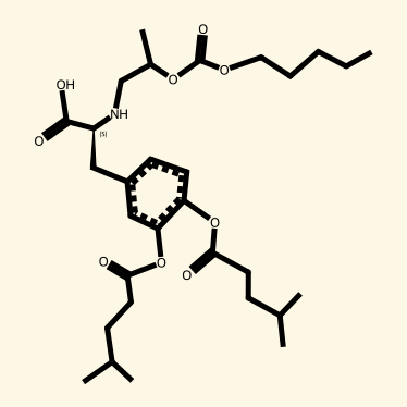 CCCCCOC(=O)OC(C)CN[C@@H](Cc1ccc(OC(=O)CCC(C)C)c(OC(=O)CCC(C)C)c1)C(=O)O